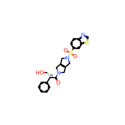 O=C([C@@H](CO)c1ccccc1)N1CC2=C(C1)CN(S(=O)(=O)c1ccc3ncsc3c1)C2